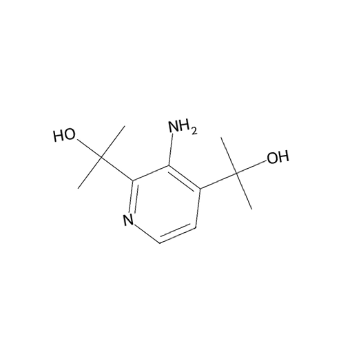 CC(C)(O)c1ccnc(C(C)(C)O)c1N